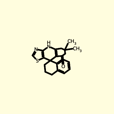 CC1(C)CC(=O)C2=C(C1)Nc1ncsc1C21CCCc2ccccc21